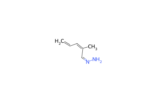 C=C/C=C(C)\C=N/N